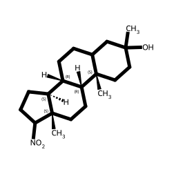 CC1(O)CC[C@@]2(C)C(CC[C@@H]3[C@H]2CC[C@]2(C)C([N+](=O)[O-])CC[C@@H]32)C1